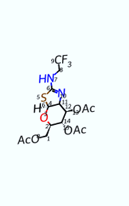 CC(=O)OC[C@H]1O[C@H]2SC(NCC(F)(F)F)=NC2[C@@H](OC(C)=O)[C@@H]1OC(C)=O